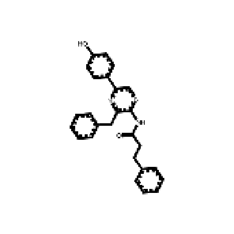 O=C(CCc1ccccc1)Nc1ncc(-c2ccc(O)cc2)nc1Cc1ccccc1